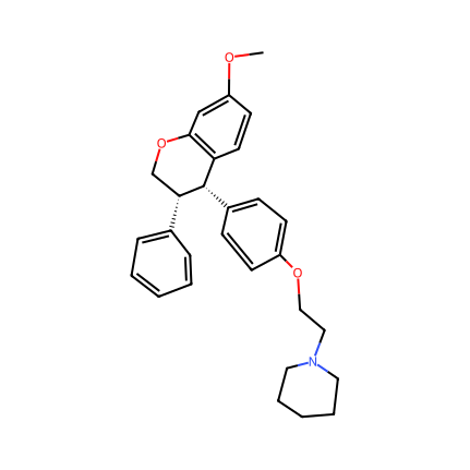 COc1ccc2c(c1)OC[C@@H](c1ccccc1)[C@H]2c1ccc(OCCN2CCCCC2)cc1